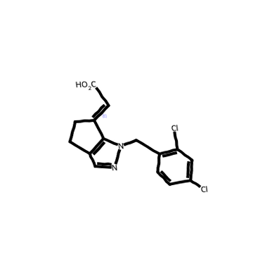 O=C(O)/C=C1\CCc2cnn(Cc3ccc(Cl)cc3Cl)c21